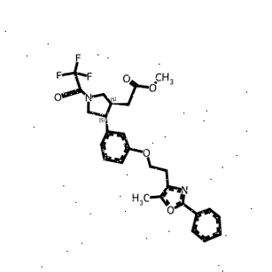 COC(=O)C[C@@H]1CN(C(=O)C(F)(F)F)C[C@@H]1c1cccc(OCCc2nc(-c3ccccc3)oc2C)c1